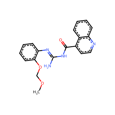 COCOc1ccccc1N=C(N)NC(=O)c1ccnc2ccccc12